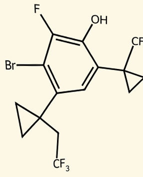 Oc1c(C2(C(F)(F)F)CC2)cc(C2(CC(F)(F)F)CC2)c(Br)c1F